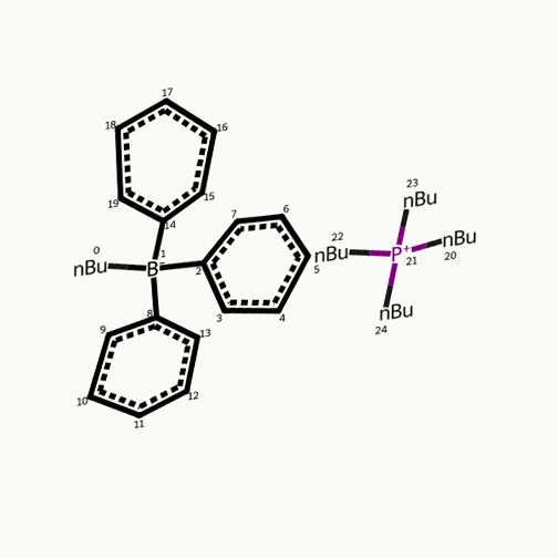 CCCC[B-](c1ccccc1)(c1ccccc1)c1ccccc1.CCCC[P+](CCCC)(CCCC)CCCC